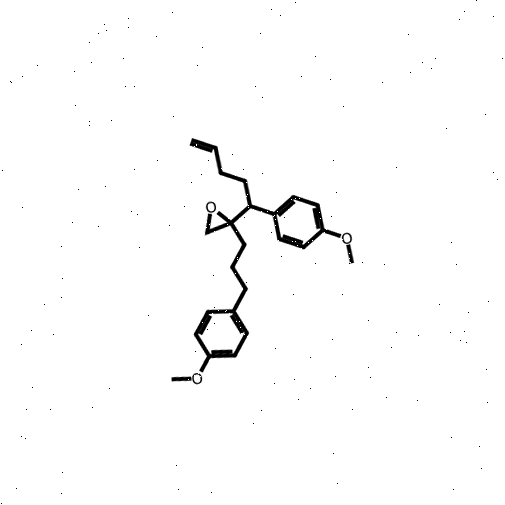 C=CCCC(c1ccc(OC)cc1)C1(CCCc2ccc(OC)cc2)CO1